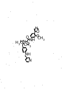 COc1cc(NC(=O)C(=O)NC(C)(C)Cc2ccc(NCc3cccnc3)cc2)ccc1-c1cnco1